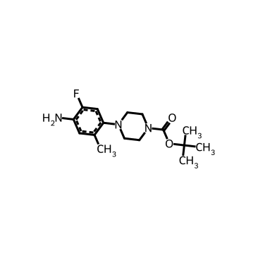 Cc1cc(N)c(F)cc1N1CCN(C(=O)OC(C)(C)C)CC1